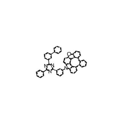 c1ccc(-c2cccc(-c3nc(-c4ccccc4)nc(-c4cccc(-n5c6cccc7c8ccccc8c8cccc9oc%10ccc5c(c%10c98)c76)c4)n3)c2)cc1